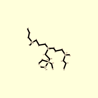 CCCN(C)CCCN(CCCN(C)CCC)CC[Si](CC)(CC)OC